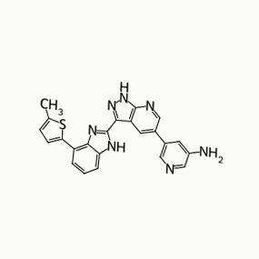 Cc1ccc(-c2cccc3[nH]c(-c4n[nH]c5ncc(-c6cncc(N)c6)cc45)nc23)s1